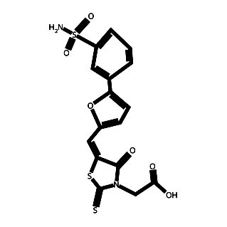 NS(=O)(=O)c1cccc(-c2ccc(/C=C3/SC(=S)N(CC(=O)O)C3=O)o2)c1